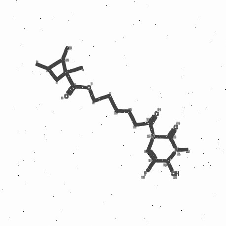 CC1CC(C)(C(=O)OCCCCCC(=O)N2C=C(F)C(O)N(C)C2=O)C1C